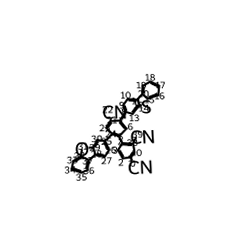 N#Cc1ccc(-c2cc(-c3ccc4c(c3)sc3ccccc34)c(C#N)cc2-c2ccc3c(c2)oc2ccccc23)c(C#N)c1